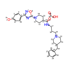 COc1ccc(-c2noc(N3CCC(C(=O)NCCCN4CCC(Cc5ccccc5)CC4)CC3)n2)cc1.O=CO